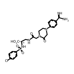 N=C(N)c1ccc(N2CCN(CC(=O)NC[C@H](NS(=O)(=O)c3ccc(Cl)cc3)C(=O)O)C(=O)C2)cc1